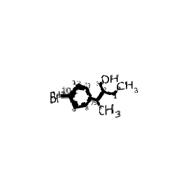 CCC(CO)=C(C)c1ccc(Br)cc1